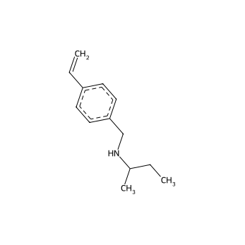 C=Cc1ccc(CNC(C)CC)cc1